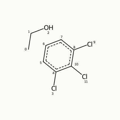 CCO.Clc1cccc(Cl)c1Cl